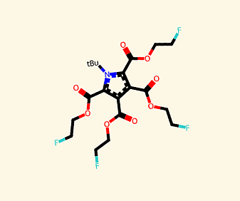 CC(C)(C)n1c(C(=O)OCCF)c(C(=O)OCCF)c(C(=O)OCCF)c1C(=O)OCCF